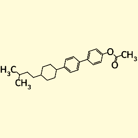 CC(=O)Oc1ccc(-c2ccc(C3CCC(CCC(C)C)CC3)cc2)cc1